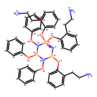 NCCc1ccccc1OP1N=P(Oc2ccccc2CCN)(Oc2ccccc2CCN)N(Oc2ccccc2)P(Oc2ccccc2)N1Oc1ccccc1